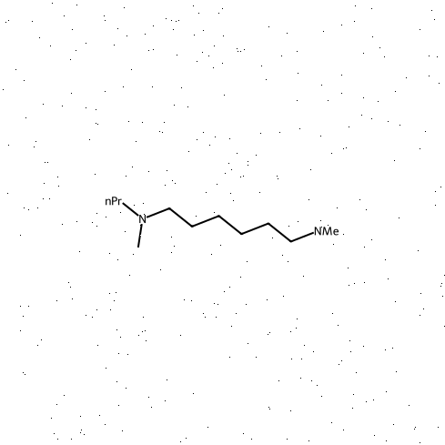 CCCN(C)CCCCCCNC